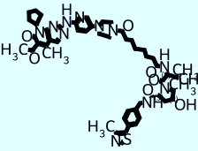 CC(=O)c1c(C)c2cnc(Nc3ccc(N4CCN(C(=O)CCCCCCC(=O)N[C@H](C(=O)N5C[C@H](O)C[C@H]5C(=O)NCc5ccc(-c6scnc6C)cc5)C(C)(C)C)CC4)cn3)nc2n(C2CCCC2)c1=O